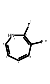 FC1=C(F)NC=CC=C1